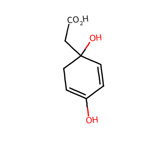 O=C(O)CC1(O)C=CC(O)=CC1